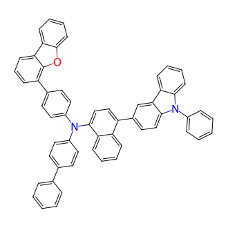 c1ccc(-c2ccc(N(c3ccc(-c4cccc5c4oc4ccccc45)cc3)c3ccc(-c4ccc5c(c4)c4ccccc4n5-c4ccccc4)c4ccccc34)cc2)cc1